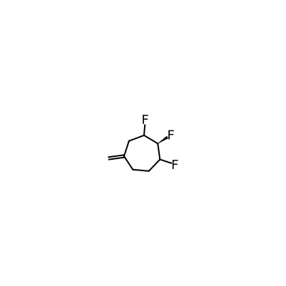 C=C1CCC(F)[C@H](F)C(F)C1